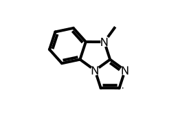 Cn1c2ccccc2n2c[c]nc12